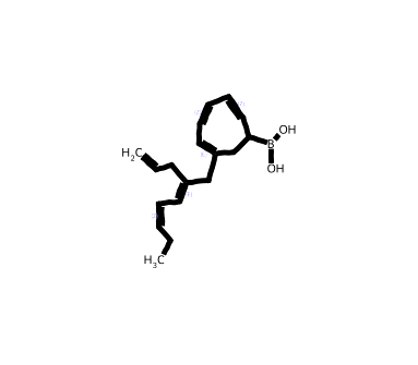 C=CC/C(=C\C=C/CC)C/C1=C/C=C\C=C/C(B(O)O)C1